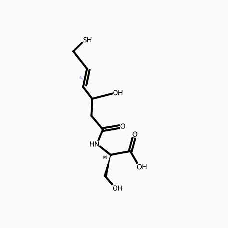 O=C(CC(O)/C=C/CS)N[C@H](CO)C(=O)O